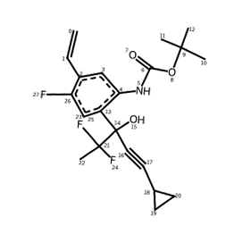 C=Cc1cc(NC(=O)OC(C)(C)C)c(C(O)(C#CC2CC2)C(C)(F)F)cc1F